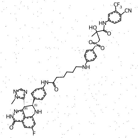 Cn1ncnc1[C@H]1c2n[nH]c(=O)c3cc(F)cc(c23)N[C@@H]1c1ccc(NC(=O)CCCCCNc2ccc(S(=O)(=O)CC(C)(O)C(=O)Nc3ccc(C#N)c(C(F)(F)F)c3)cc2)cc1